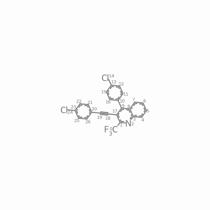 FC(F)(F)c1nc2ccccc2c(-c2ccc(Cl)cc2)c1C#Cc1ccc(Cl)cc1